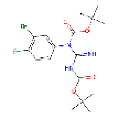 CC(C)(C)OC(=O)NC(=N)N(C(=O)OC(C)(C)C)c1ccc(F)c(Br)c1